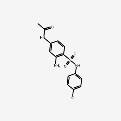 CC(=O)Nc1ccc(S(=O)(=O)Nc2ccc(Cl)cc2)c(N)c1